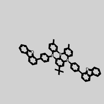 Cc1ccc2c(c1)B1c3cc(C)ccc3N(c3ccc(-c4cccc5c4oc4ccccc45)cc3)c3cc(C(C)(C)C)cc(c31)N2c1ccc(-c2cccc3c2oc2ccccc23)cc1